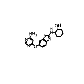 Nc1cc(Oc2ccc3nc(N[C@@H]4CCCC[C@H]4O)sc3c2)ncn1